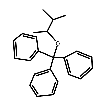 CC(C)C(C)OC(c1ccccc1)(c1ccccc1)c1ccccc1